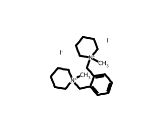 C[N+]1(Cc2ccccc2C[N+]2(C)CCCCC2)CCCCC1.[I-].[I-]